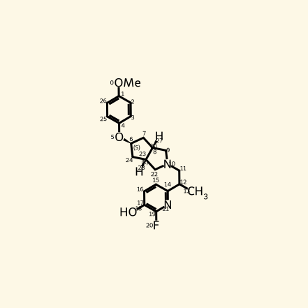 COc1ccc(O[C@H]2C[C@@H]3CN(CC(C)c4ccc(O)c(F)n4)C[C@@H]3C2)cc1